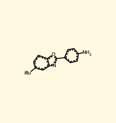 CCC(C)c1ccc2oc(-c3ccc(N)cc3)nc2c1